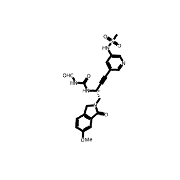 COc1ccc2c(c1)C(=O)N(C[C@@H](C#Cc1cncc(NS(C)(=O)=O)c1)NC(=O)NC=O)C2